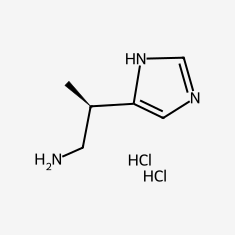 C[C@H](CN)c1cnc[nH]1.Cl.Cl